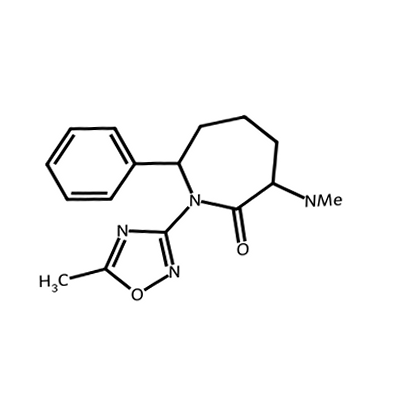 CNC1CCCC(c2ccccc2)N(c2noc(C)n2)C1=O